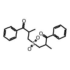 CC(CS(=O)(=O)CC(C)C(=O)c1ccccc1)C(=O)c1ccccc1